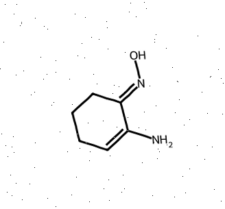 NC1=CCCCC1=NO